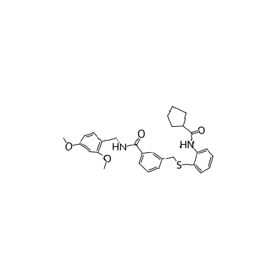 COc1ccc(CNC(=O)c2cccc(CSc3ccccc3NC(=O)C3CCCC3)c2)c(OC)c1